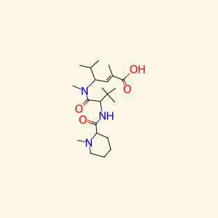 C/C(=C\C(C(C)C)N(C)C(=O)C(NC(=O)C1CCCCN1C)C(C)(C)C)C(=O)O